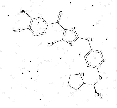 CCCc1cc(C(=O)c2sc(Nc3ccc(O[C@@H](C)C4CCCN4)cc3)nc2N)ccc1OC(C)=O